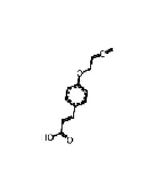 C=C=CCOc1ccc(C=CC(=O)O)cc1